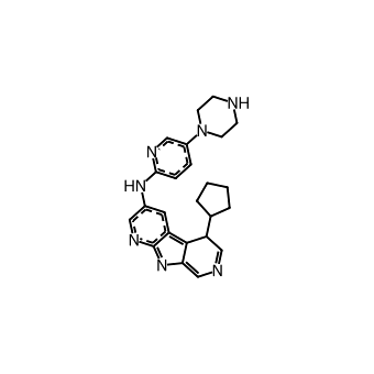 C1=NC=C2N=c3ncc(Nc4ccc(N5CCNCC5)cn4)cc3=C2C1C1CCCC1